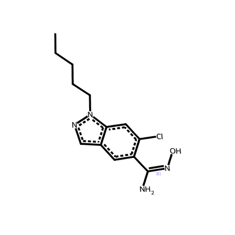 CCCCCn1ncc2cc(/C(N)=N\O)c(Cl)cc21